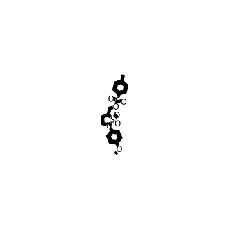 COc1ccc(N2CCC(COS(=O)(=O)c3ccc(C)cc3)S2(=O)=O)cc1